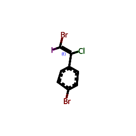 Cl/C(=C(\Br)I)c1ccc(Br)cc1